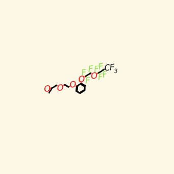 FC(OC(F)(F)C(F)(F)C(F)(F)F)C(F)(F)Oc1ccccc1OCCOCC1CO1